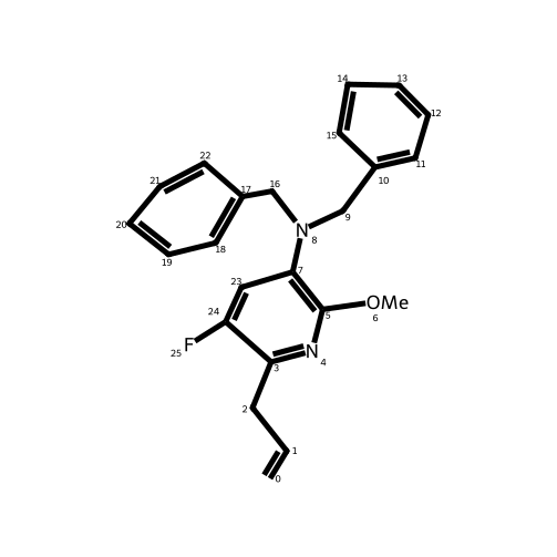 C=CCc1nc(OC)c(N(Cc2ccccc2)Cc2ccccc2)cc1F